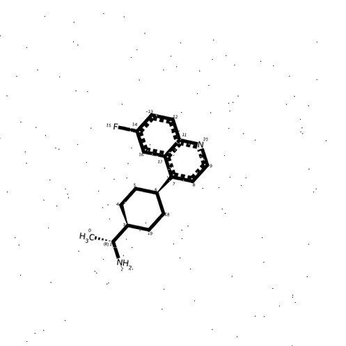 C[C@@H](N)[C@H]1CC[C@@H](c2ccnc3ccc(F)cc32)CC1